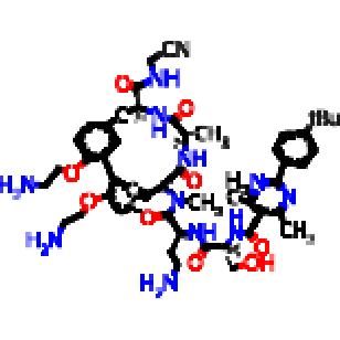 Cc1nc(-c2ccc(C(C)(C)C)cc2)nc(C)c1C(=O)N[C@H](CO)C(=O)N[C@@H](CCN)C(=O)N(C)[C@@H]1C(=O)N[C@@H](C)C(=O)N[C@H](C(=O)NCC#N)Cc2ccc(OCCN)c(c2)-c2cc1ccc2OCCN